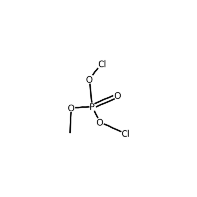 COP(=O)(OCl)OCl